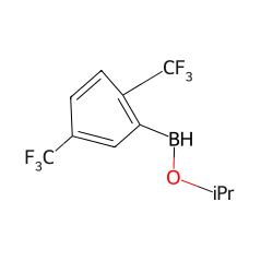 CC(C)OBc1cc(C(F)(F)F)ccc1C(F)(F)F